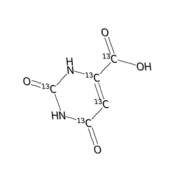 O=[13C](O)[13c]1[13cH][13c](=O)[nH][13c](=O)[nH]1